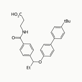 CCC(Oc1ccc(-c2ccc(C(C)(C)C)cc2)cc1)c1ccc(C(=O)NCCC(=O)O)cc1